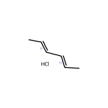 C/C=C/C=C/C.Cl